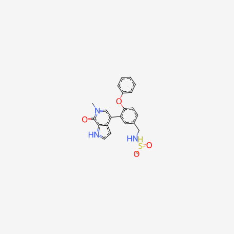 Cn1cc(-c2cc(CN[SH](=O)=O)ccc2Oc2ccccc2)c2cc[nH]c2c1=O